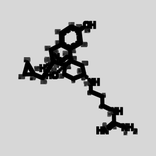 N=C(N)NCCCN[C@@H]1CC[C@@]2(O)[C@H]3Cc4ccc(O)cc4[C@@]2(CCN3CC2CC2)C1